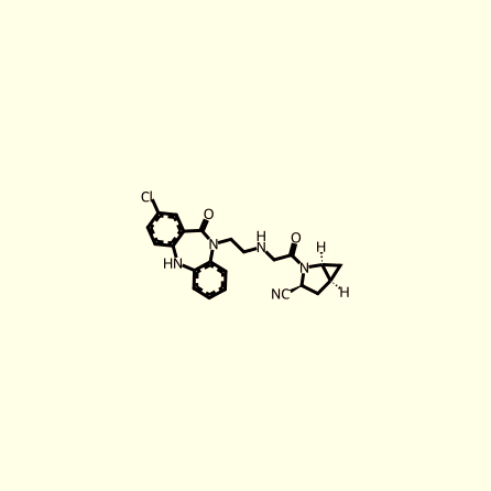 N#C[C@@H]1C[C@@H]2C[C@@H]2N1C(=O)CNCCN1C(=O)c2cc(Cl)ccc2Nc2ccccc21